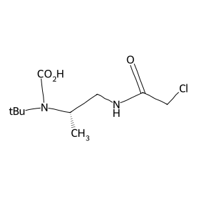 C[C@@H](CNC(=O)CCl)N(C(=O)O)C(C)(C)C